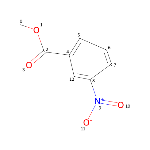 COC(=O)c1cc[c]c([N+](=O)[O-])c1